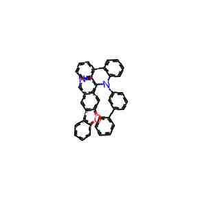 c1ccc(-c2cccc(N(c3ccccc3-c3ccccc3)c3cncc4cc5c(cc34)oc3ccccc35)c2)cc1